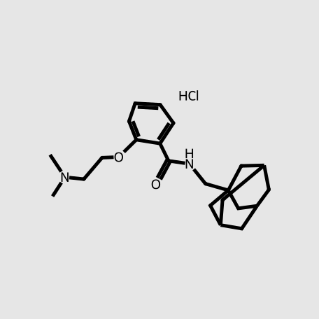 CN(C)CCOc1ccccc1C(=O)NCC12CC3CC(CC(C3)C1)C2.Cl